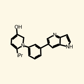 CC(C)C1=CC=C(O)CN1c1cccc(-c2cnc3cc[nH]c3c2)c1